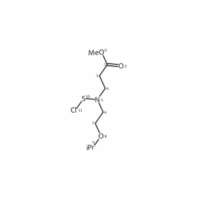 COC(=O)CCN(CCOC(C)C)SCl